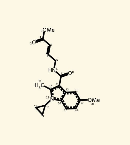 COC(=O)/C=C/CNC(=O)c1c(C)n(C2CC2)c2ccc(OC)cc12